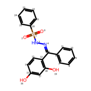 O=S(=O)(N/N=C(/c1ccccc1)c1ccc(O)cc1O)c1ccccc1